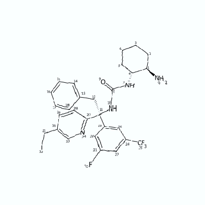 N[C@@H]1CCCC[C@H]1NC(=O)N[C@@](Cc1ccccc1)(c1cc(F)cc(C(F)(F)F)c1)c1ccc(CI)cn1